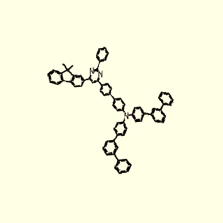 CC1(C)c2ccccc2-c2ccc(-c3cc(-c4ccc(-c5ccc(N(c6ccc(-c7cccc(-c8ccccc8)c7)cc6)c6ccc(-c7cccc(-c8ccccc8)c7)cc6)cc5)cc4)nc(-c4ccccc4)n3)cc21